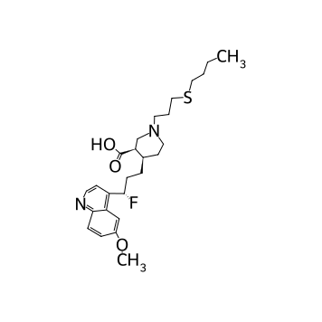 CCCCSCCCN1CC[C@@H](CC[C@H](F)c2ccnc3ccc(OC)cc23)[C@@H](C(=O)O)C1